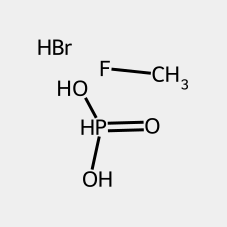 Br.CF.O=[PH](O)O